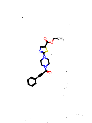 CCOC(=O)c1cnc(N2CCN(C(=O)C#Cc3ccccc3)CC2)s1